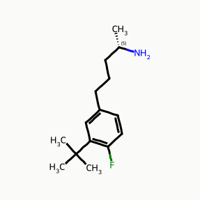 C[C@H](N)CCCc1ccc(F)c(C(C)(C)C)c1